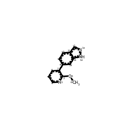 COc1ncccc1-c1ccc2cn[nH]c2c1